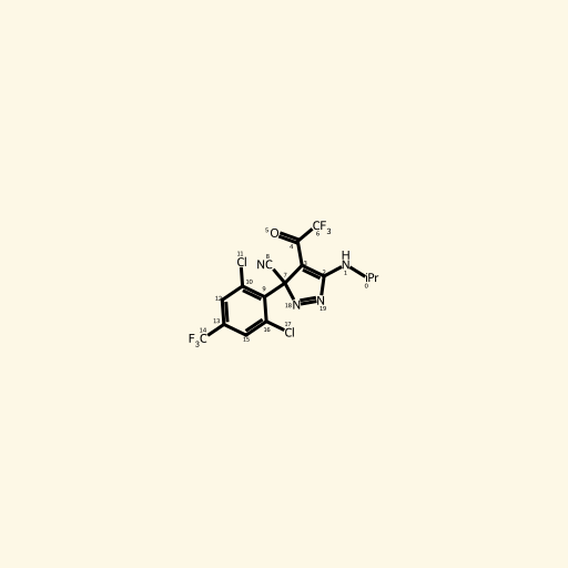 CC(C)NC1=C(C(=O)C(F)(F)F)C(C#N)(c2c(Cl)cc(C(F)(F)F)cc2Cl)N=N1